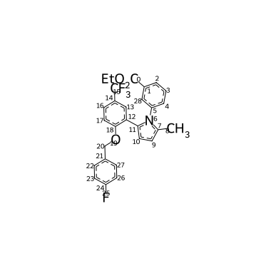 CCOC(=O)c1cccc(-n2c(C)ccc2-c2cc(C(F)(F)F)ccc2OCc2ccc(F)cc2)c1